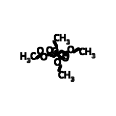 CCCOC(=O)CC(CC(=O)OC(=O)CC)(OCCC)C(=O)OCCC